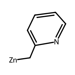 [Zn][CH2]c1ccccn1